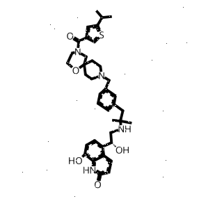 CC(C)c1cc(C(=O)N2CCOC3(CCN(Cc4cccc(CC(C)(C)NC[C@H](O)c5ccc(O)c6[nH]c(=O)ccc56)c4)CC3)C2)cs1